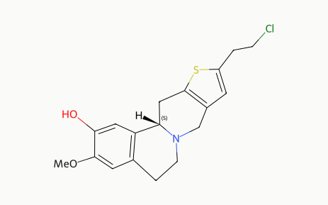 COc1cc2c(cc1O)[C@@H]1Cc3sc(CCCl)cc3CN1CC2